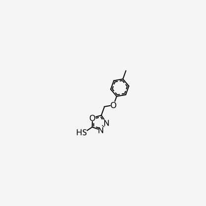 Cc1ccc(OCc2nnc(S)o2)cc1